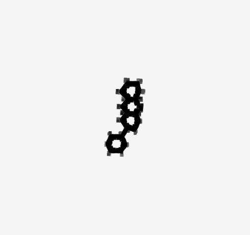 [c]1ccccc1-c1ccc2nc3ccccc3cc2c1